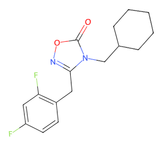 O=c1onc(Cc2ccc(F)cc2F)n1CC1CCCCC1